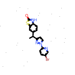 CC(c1ccc2[nH]c(=O)sc2c1)c1ccn(-c2ccc(Br)cn2)n1